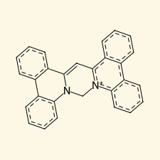 C1=C2c3ccccc3-c3ccccc3N2C[n+]2c1c1ccccc1c1ccccc12